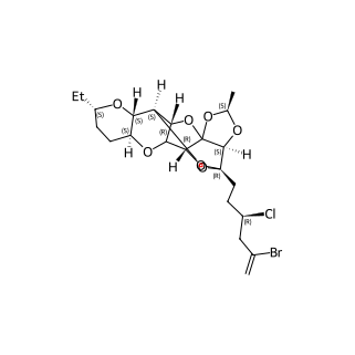 C=C(Br)C[C@H](Cl)CC[C@]12O[C@H]3[C@H]4O[C@@H](CC)CC[C@@H]4OC4[C@H]3OC3(O[C@@H](C)O[C@H]31)[C@@H]4O2